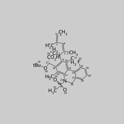 C=C(/C(C)=C\C(C)=C/C)c1c(C)c2c(c(C)c1[C@H](OC(C)(C)C)C(=O)O)N(S(C)(=O)=O)Cc1cccc(F)c1-2